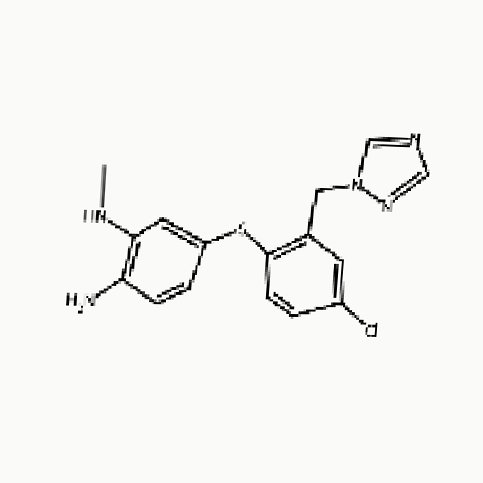 CNc1cc(Sc2ccc(Cl)cc2Cn2cncn2)ccc1N